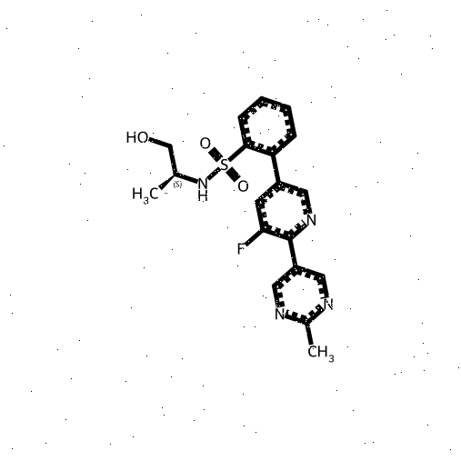 Cc1ncc(-c2ncc(-c3ccccc3S(=O)(=O)N[C@@H](C)CO)cc2F)cn1